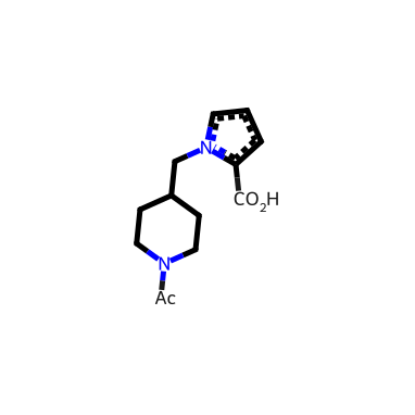 CC(=O)N1CCC(Cn2cccc2C(=O)O)CC1